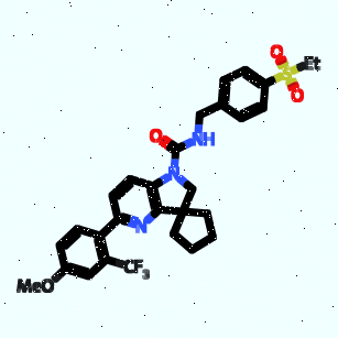 CCS(=O)(=O)c1ccc(CNC(=O)N2CC3(CCCC3)c3nc(-c4ccc(OC)cc4C(F)(F)F)ccc32)cc1